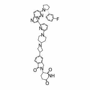 O=C1CCC(N2Cc3cc(C4CN(C5CCN(c6cccc(-c7cnc8ccc(N9CCC[C@@H]9c9cccc(F)c9)nn78)n6)CC5)C4)ccc3C2=O)C(=O)N1